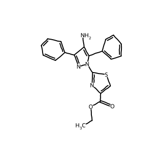 CCOC(=O)c1csc(-n2nc(-c3ccccc3)c(N)c2-c2ccccc2)n1